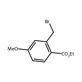 CCOC(=O)c1ccc(OC)cc1CBr